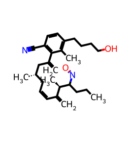 C=C(C[C@@H](C)C/C=C\C(=C)[C@@H](C)C(CCC)N=O)c1c(C#N)ccc(CCCCO)c1C